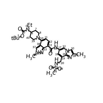 CCN(C(=O)OC(C)(C)C)C1CCN(c2ccc(C(=O)Nc3cc(CNS(C)(=O)=O)c4nc(C)cn4c3)c3nn(C)cc23)CC1